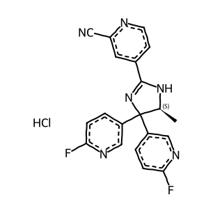 C[C@@H]1NC(c2ccnc(C#N)c2)=NC1(c1ccc(F)nc1)c1ccc(F)nc1.Cl